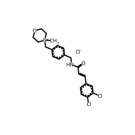 C[N+]1(Cc2ccc(CNC(=O)C=Cc3ccc(Cl)c(Cl)c3)cc2)CCOCC1.[Cl-]